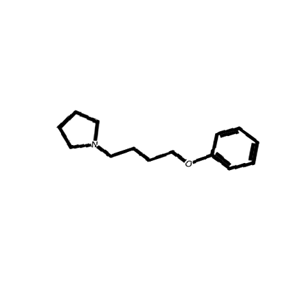 c1ccc(OCCCCN2CCCC2)cc1